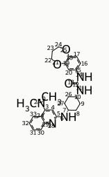 CN(C)c1cc(N[C@H]2CC[C@@H](NC(=O)Nc3ccc4c(c3)OCCCO4)CC2)nc2ccccc12